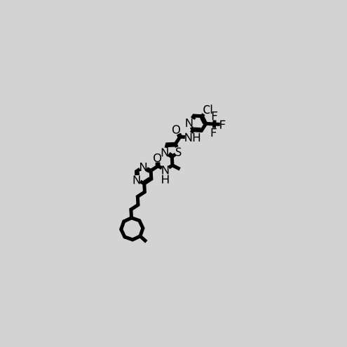 CC1CCCCC(CCCCc2cc(C(=O)NC(C)c3ncc(C(=O)Nc4cc(C(F)(F)F)c(Cl)cn4)s3)ncn2)CC1